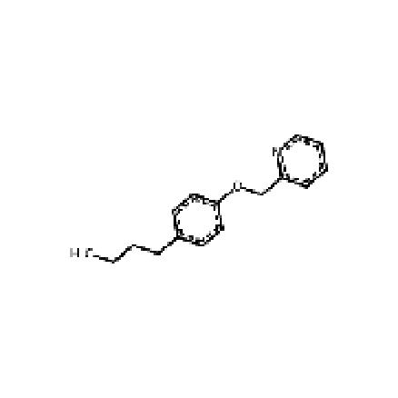 CCCCc1ccc(OCc2ccccn2)cc1